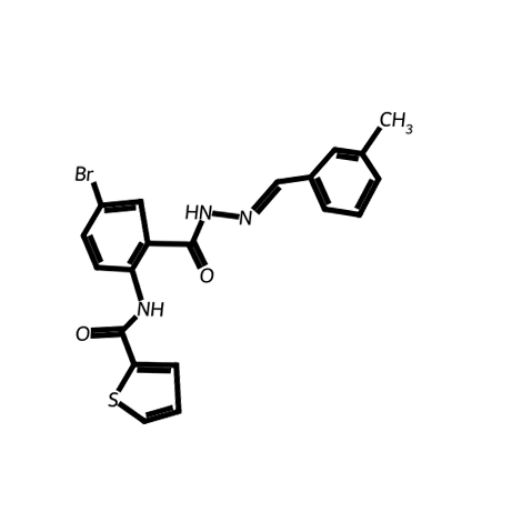 Cc1cccc(/C=N/NC(=O)c2cc(Br)ccc2NC(=O)c2cccs2)c1